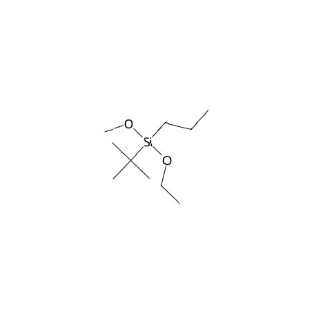 CCC[Si](OC)(OCC)C(C)(C)C